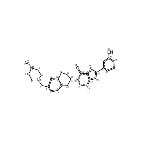 CC(=O)N1CCN(Cc2ccc3c(c2)CC[C@H](n2cnc4cc(-c5cccc(C#N)c5)sc4c2=O)C3)CC1